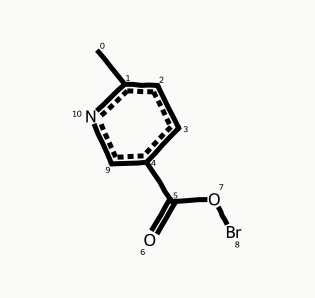 Cc1ccc(C(=O)OBr)cn1